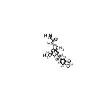 CC(C)CN(CC(C)(C)CCNC(=O)CN)S(=O)(=O)c1ccc2c(c1)OCO2